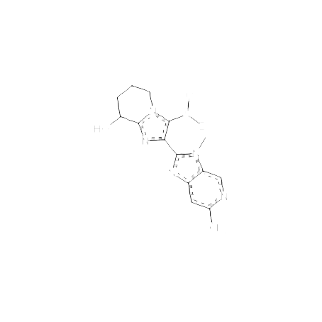 CC[S+]([O-])c1c(-c2nc3cc(C(F)(F)F)ncc3n2C)nc2n1CCCC2O